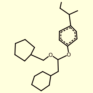 CCC(C)c1ccc(OC(CC2CCCCC2)OCC2CCCCC2)cc1